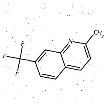 Cc1ccc2ccc(C(F)(F)F)cc2n1